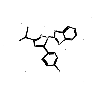 CC(C)c1cc(-c2ccc(F)cc2)n(-c2nc3ccccc3s2)n1